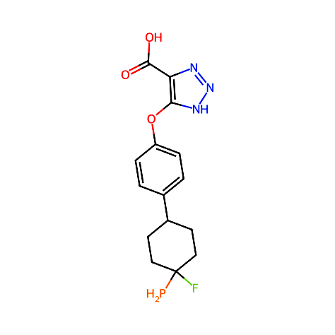 O=C(O)c1nn[nH]c1Oc1ccc(C2CCC(F)(P)CC2)cc1